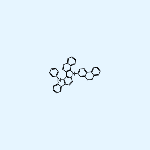 c1ccc(-n2c3ccccc3c3ccc4c(c5ccc6ccccc6c5n4-c4ccc5c(ccc6ccccc65)c4)c32)cc1